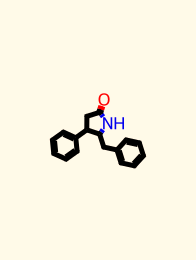 O=C1CC(c2ccccc2)C(Cc2ccccc2)N1